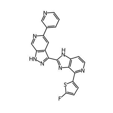 Fc1ccc(-c2nccc3[nH]c(-c4n[nH]c5cnc(-c6cccnc6)cc45)nc23)s1